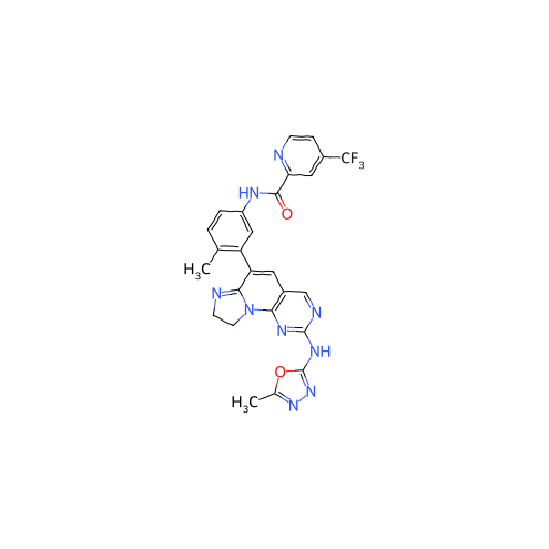 Cc1nnc(Nc2ncc3c(n2)N2CCN=C2C(c2cc(NC(=O)c4cc(C(F)(F)F)ccn4)ccc2C)=C3)o1